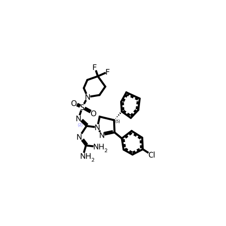 NC(N)=N/C(=N/S(=O)(=O)N1CCC(F)(F)CC1)N1C[C@H](c2ccccc2)C(c2ccc(Cl)cc2)=N1